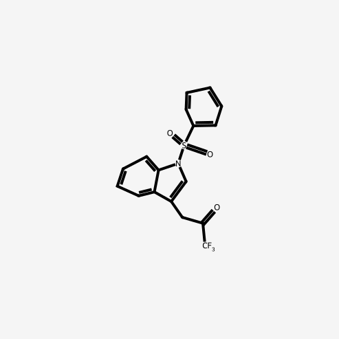 O=C(Cc1cn(S(=O)(=O)c2ccccc2)c2ccccc12)C(F)(F)F